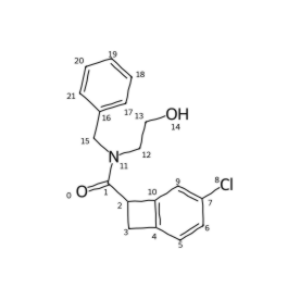 O=C(C1Cc2ccc(Cl)cc21)N(CCO)Cc1ccccc1